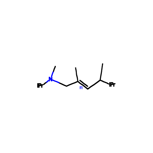 C/C(=C\C(C)C(C)C)CN(C)C(C)C